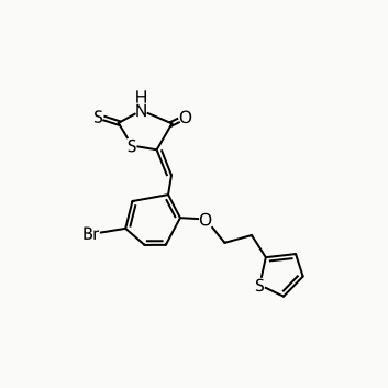 O=C1NC(=S)S/C1=C\c1cc(Br)ccc1OCCc1cccs1